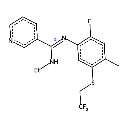 CCN/C(=N\c1cc(SCC(F)(F)F)c(C)cc1F)c1cccnc1